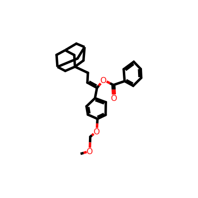 COCOc1ccc(C(=CCC23CC4CC(CC(C4)C2)C3)OC(=O)c2ccccc2)cc1